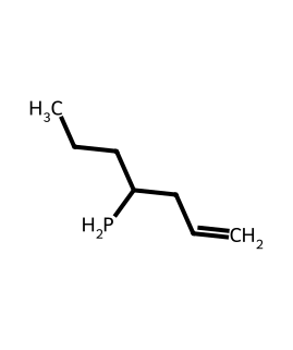 C=CCC(P)CCC